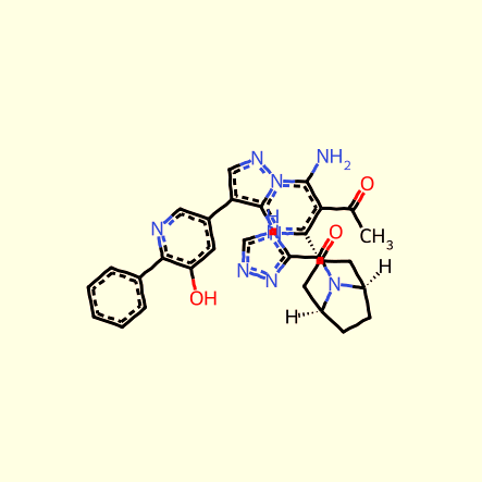 CC(=O)c1c([C@@H]2C[C@H]3CC[C@@H](C2)N3C(=O)c2nnc[nH]2)nc2c(-c3cnc(-c4ccccc4)c(O)c3)cnn2c1N